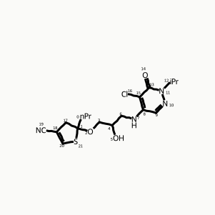 CCCC1(OCC(O)CNc2cnn(C(C)C)c(=O)c2Cl)CC(C#N)=CS1